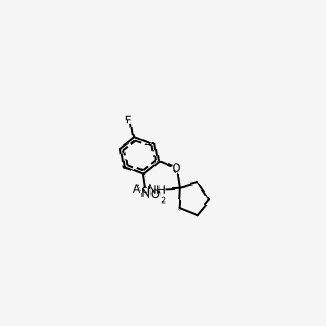 CC(=O)NC1(Oc2cc(F)ccc2[N+](=O)[O-])CCCC1